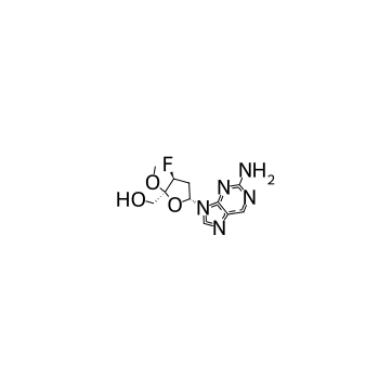 CO[C@]1(CO)O[C@@H](n2cnc3cnc(N)nc32)C[C@@H]1F